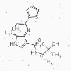 C=C1NC=C(C(=O)N[C@@H](C)C(C)(C)O)/C1=N/C(=C\C)c1cccs1